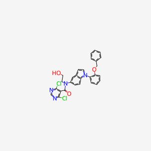 O=C(c1c(Cl)ncnc1Cl)N(CCO)c1ccc2c(ccn2-c2ccccc2OCc2ccccc2)c1